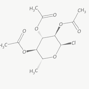 CC(=O)O[C@@H]1[C@@H](OC(C)=O)[C@@H](Cl)O[C@H](C)[C@H]1OC(C)=O